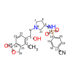 Cc1c([C@@H](O)CN2CC[C@@H](NS(=O)(=O)c3ccc(C#N)cc3)C2)ccc2c1COC2=O